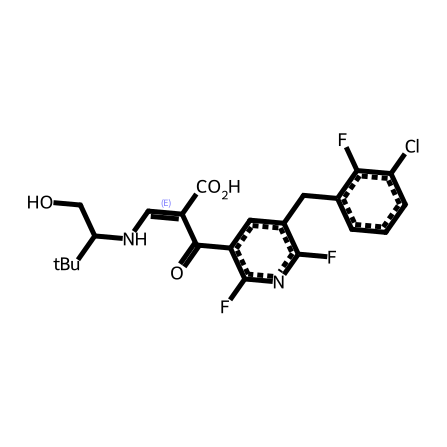 CC(C)(C)C(CO)N/C=C(/C(=O)O)C(=O)c1cc(Cc2cccc(Cl)c2F)c(F)nc1F